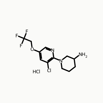 Cl.NC1CCCN(c2ncc(OCC(F)(F)F)cc2Cl)C1